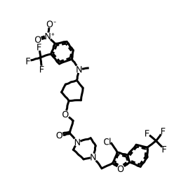 CN(c1ccc([N+](=O)[O-])c(C(F)(F)F)c1)C1CCC(OCC(=O)N2CCN(Cc3oc4ccc(C(F)(F)F)cc4c3Cl)CC2)CC1